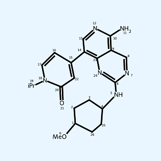 COC1CCC(Nc2ncc3c(N)ncc(-c4ccn(C(C)C)c(=O)c4)c3n2)CC1